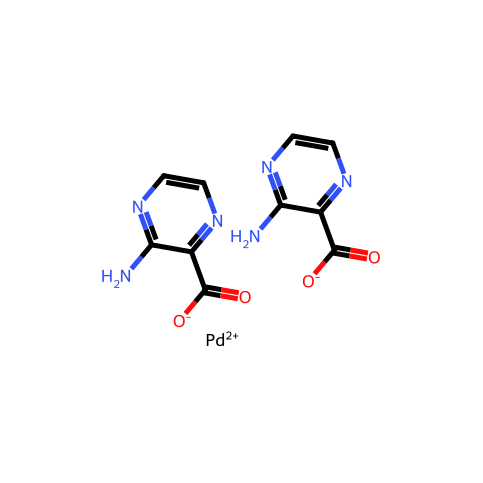 Nc1nccnc1C(=O)[O-].Nc1nccnc1C(=O)[O-].[Pd+2]